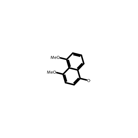 COc1cccc2c([O])ccc(OC)c12